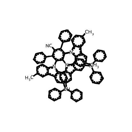 Cc1ccc2c(c1)c1cc(C)ccc1n2-c1c(-c2ccccc2)c(C#N)c(-c2ccccc2)c(-n2c3ccc(C)cc3c3cc(C)ccc32)c1-n1c2ccc(N(c3ccccc3)c3ccccc3)cc2c2cc(N(c3ccccc3)c3ccccc3)ccc21